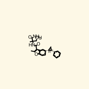 Cc1oc2ccc([C@@H]3C[C@@H]3c3ccccc3)cc2c1C(=O)NC(C)(CO)C(N)=O